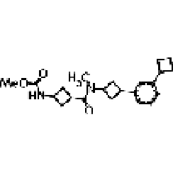 COC(=O)NC1CC(C(=O)N(C)C2CC(c3cccc(C4CCC4)c3)C2)C1